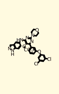 O=C(O)Oc1c(Nc2ccc3[nH]ncc3c2)nc(N2CCOCC2)nc1-c1cccc(Oc2cc(Cl)cc(Cl)c2)c1